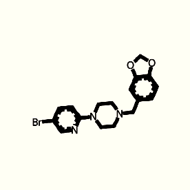 Brc1ccc(N2CCN(Cc3ccc4c(c3)OCO4)CC2)nc1